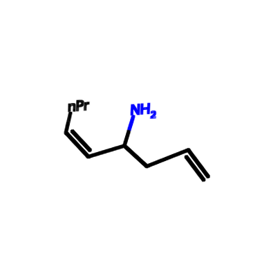 C=CCC(N)/C=C\CCC